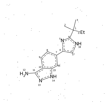 CCC(C)(C)c1nc(-c2ccc3c(N)n[nH]c3c2)c[nH]1